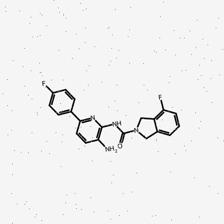 Nc1ccc(-c2ccc(F)cc2)nc1NC(=O)N1Cc2cccc(F)c2C1